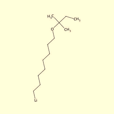 [Li][CH2]CCCCCCCOC(C)(C)CC